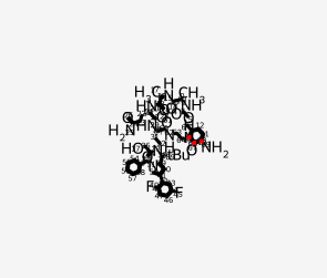 C[C@H](NC(=O)OCc1ccccc1)C(=O)N[C@@H](C)C(=O)N[C@@H](CCC(N)=O)C(=O)N[C@@H](CCN(C(=O)CO)[C@@H](c1cc(-c2cc(F)ccc2F)cn1Cc1ccccc1)C(C)(C)C)C(=O)NCCNC(=O)CN